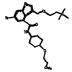 COCCOC1CCC(NC(=O)c2cc(Br)cc3ncn(COCC[Si](C)(C)C)c23)CC1